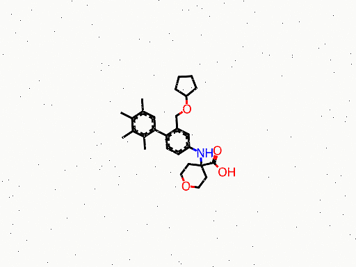 Cc1cc(-c2ccc(NC3(C(=O)O)CCOCC3)cc2COC2CCCC2)c(C)c(C)c1C